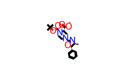 COC(=O)[C@@H]1CN(C2=N[C@@H](C)[C@H](c3ccccc3)O2)CCN1C(=O)OC(C)(C)C